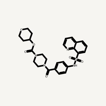 O=C(OC1CCOCC1)N1CCN(C(=O)c2ccc(NS(=O)(=O)c3cccc4cccnc34)cc2)CC1